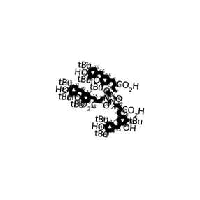 CC(C)(C)c1cc(CC(CCn2c(=O)n(CCC(Cc3cc(Cc4cc(C(C)(C)C)c(O)c(C(C)(C)C)c4)c(O)c(C(C)(C)C)c3)C(=O)O)c(=O)n(CCC(Cc3cc(Cc4cc(C(C)(C)C)c(O)c(C(C)(C)C)c4)c(O)c(C(C)(C)C)c3)C(=O)O)c2=O)C(=O)O)cc(Cc2cc(C(C)(C)C)c(O)c(C(C)(C)C)c2)c1O